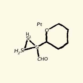 O=C[Si]1(C2CCCCO2)[SiH2][SiH2]1.[Pt]